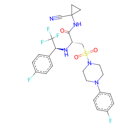 N#CC1(NC(=O)[C@H](CS(=O)(=O)N2CCN(c3ccc(F)cc3)CC2)N[C@@H](c2ccc(F)cc2)C(F)(F)F)CC1